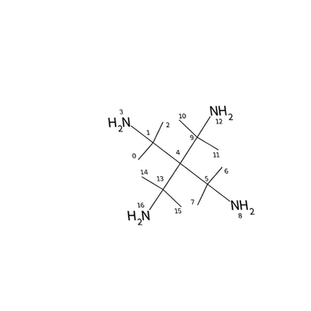 CC(C)(N)C(C(C)(C)N)(C(C)(C)N)C(C)(C)N